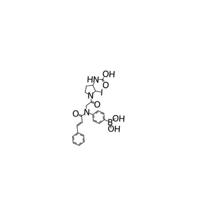 O=C(O)NC1CCN(C(=O)CN(C(=O)C=Cc2ccccc2)c2ccc(B(O)O)cc2)C1I